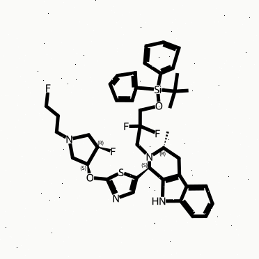 C[C@@H]1Cc2c([nH]c3ccccc23)[C@@H](c2cnc(O[C@H]3CN(CCCF)C[C@H]3F)s2)N1CC(F)(F)CO[Si](c1ccccc1)(c1ccccc1)C(C)(C)C